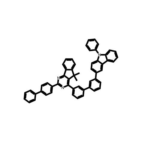 CC1(C)c2ccccc2-c2nc(-c3ccc(-c4ccccc4)cc3)nc(-c3cccc(-c4cccc(-c5ccc6c(c5)c5ccccc5n6-c5ccccc5)c4)c3)c21